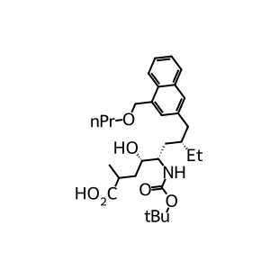 CCCOCc1cc(C[C@H](CC)C[C@H](NC(=O)OC(C)(C)C)[C@@H](O)CC(C)C(=O)O)cc2ccccc12